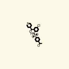 CC(=O)c1ccc(S(=O)(=O)Nc2ccc(Cl)cc2C(=O)c2ccncc2)cc1